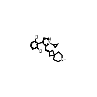 Clc1cccc(Cl)c1-c1cnn(C2CC2)c1C=C1CC2(CCNCC2)C1